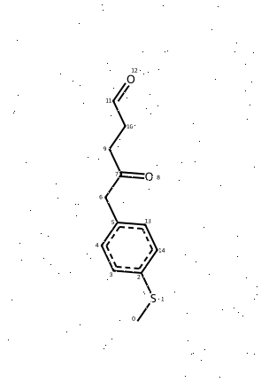 CSc1ccc(CC(=O)CCC=O)cc1